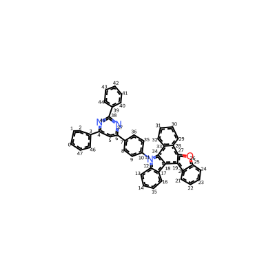 c1ccc(-c2cc(-c3ccc(-n4c5ccccc5c5c6c7ccccc7oc6c6ccccc6c54)cc3)nc(-c3ccccc3)n2)cc1